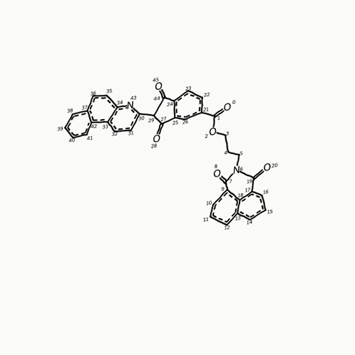 O=C(OCCCN1C(=O)c2cccc3cccc(c23)C1=O)c1ccc2c(c1)C(=O)C(c1ccc3c(ccc4ccccc43)n1)C2=O